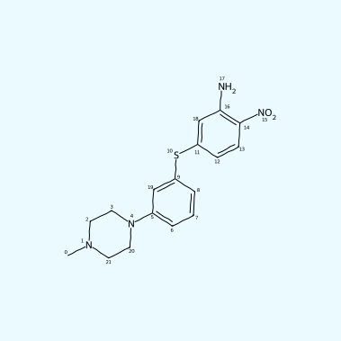 CN1CCN(c2cccc(Sc3ccc([N+](=O)[O-])c(N)c3)c2)CC1